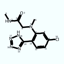 CNC(=O)CN(C)c1cc(Cl)ccc1-c1nnn[nH]1